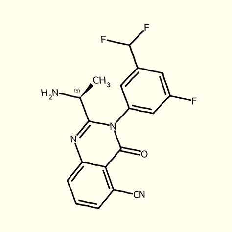 C[C@H](N)c1nc2cccc(C#N)c2c(=O)n1-c1cc(F)cc(C(F)F)c1